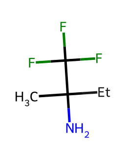 CCC(C)(N)C(F)(F)F